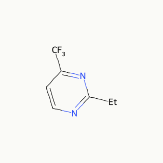 [C]Cc1nccc(C(F)(F)F)n1